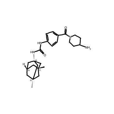 C[C@]12C[C@@H]3C[C@](C)(C1)C[C@@](NC(=O)Nc1ccc(C(=O)N4CCC(N)CC4)cc1)(C3)C2